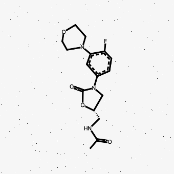 CC(=O)NC[C@H]1CN(c2ccc(F)c(N3CCOCC3)c2)C(=O)O1